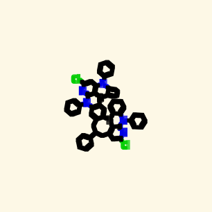 Clc1cc2c3c(n1)N(c1ccccc1)c1ccccc1B3c1cc3c(cc1CC(c1ccccc1)C2)N(c1ccccc1)c1nc(Cl)cc2c1B3c1ccccc1N2c1ccccc1